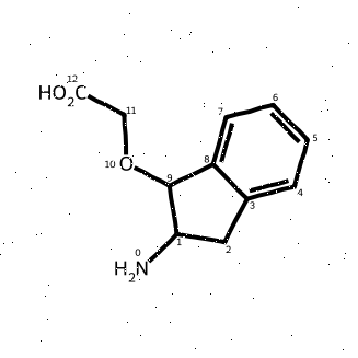 NC1Cc2ccccc2C1OCC(=O)O